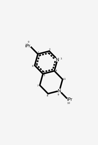 CC(C)c1cnc2c(c1)CCN(C(C)C)C2